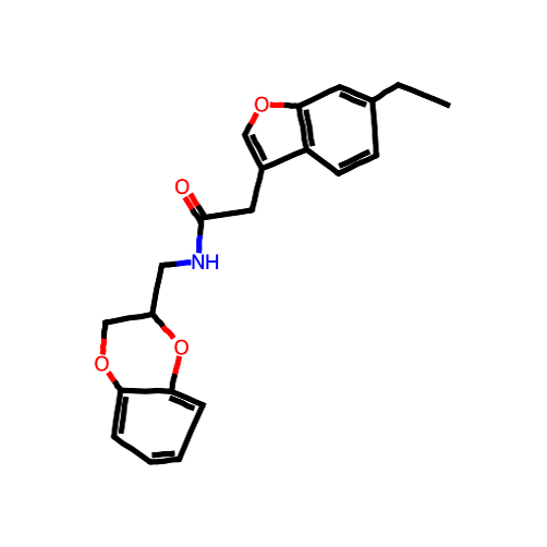 CCc1ccc2c(CC(=O)NCC3COc4ccccc4O3)coc2c1